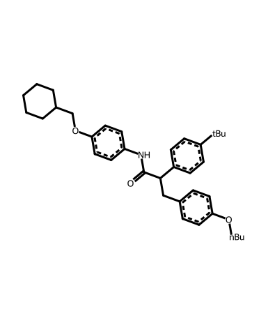 CCCCOc1ccc(CC(C(=O)Nc2ccc(OCC3CCCCC3)cc2)c2ccc(C(C)(C)C)cc2)cc1